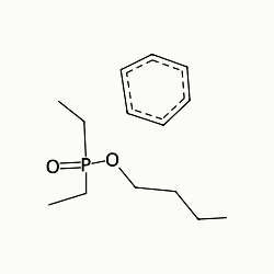 CCCCOP(=O)(CC)CC.c1ccccc1